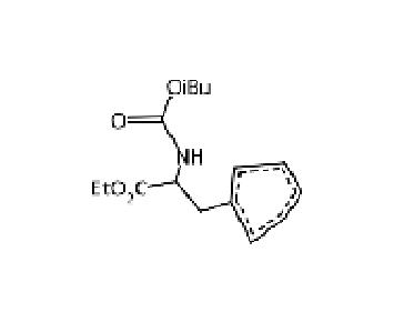 CCOC(=O)C(Cc1ccccc1)NC(=O)OCC(C)C